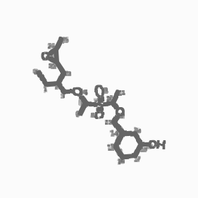 CCC(COC(C)S(=O)(=O)C(C)OCC1CCCC(O)C1)CC1OC1C